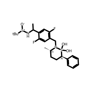 CC(N[S+]([O-])C(C)(C)C)c1cc(F)c(CN2[C@@H](C)CC[C@H](c3ccccc3)S2(O)O)cc1F